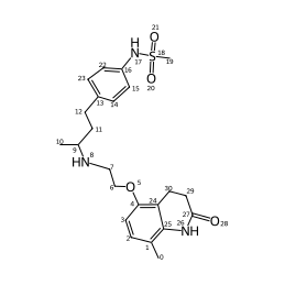 Cc1ccc(OCCNC(C)CCc2ccc(NS(C)(=O)=O)cc2)c2c1NC(=O)CC2